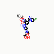 C[C@H](O)[C@@H]1CN(c2ccc(Nc3ccc(-c4cnc5cc(F)ccn45)c4c3C(=O)N(C(=O)OC(C)(C)C)C4)nc2)CCO1